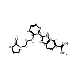 N=C(N)c1ccc2nc(-c3ncccc3OCCN3CCCC3=O)[nH]c2c1